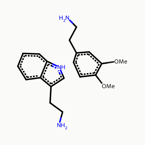 COc1ccc(CCN)cc1OC.NCCc1c[nH]c2ccccc12